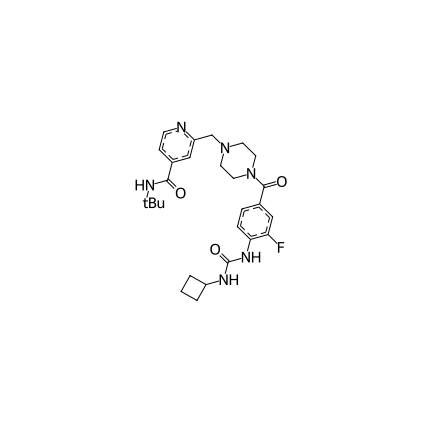 CC(C)(C)NC(=O)c1ccnc(CN2CCN(C(=O)c3ccc(NC(=O)NC4CCC4)c(F)c3)CC2)c1